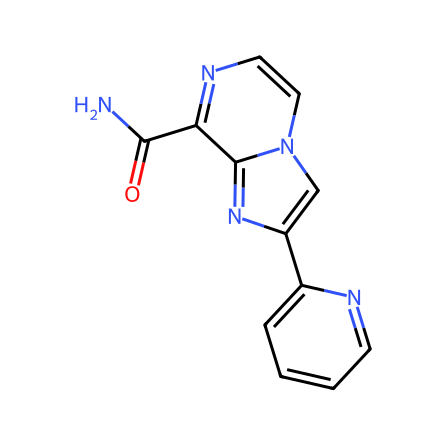 NC(=O)c1nccn2cc(-c3ccccn3)nc12